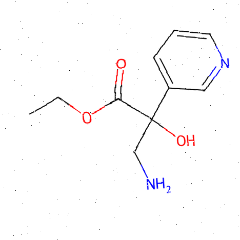 CCOC(=O)C(O)(CN)c1cccnc1